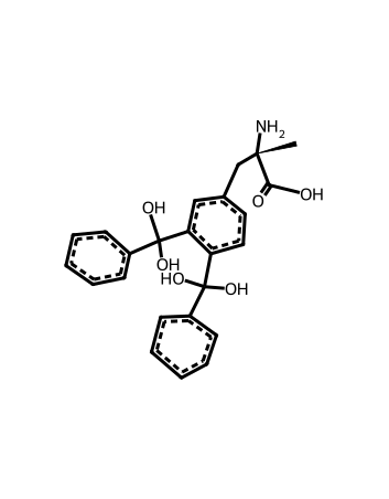 C[C@](N)(Cc1ccc(C(O)(O)c2ccccc2)c(C(O)(O)c2ccccc2)c1)C(=O)O